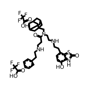 O=C(CCNCCc1ccccc1)N(CCNCCc1ccc(O)c2[nH]c(=O)sc12)CC12CC3CC(CC(C3)C1)C2.O=C(O)C(F)(F)F.O=C(O)C(F)(F)F